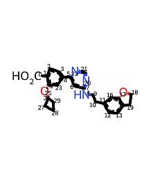 O=C(O)c1ccc(-c2cc(NCCc3ccc4c(c3)OCC4)ncn2)cc1OC1CCC1